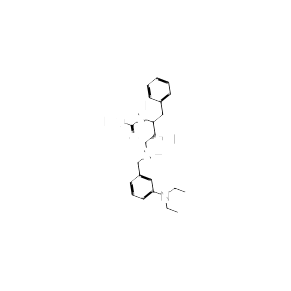 CCN(CC)c1cccc(CNC[C@@H](O)C(Cc2ccccc2)NC(=O)O)c1